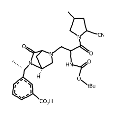 CC1CC(C#N)N(C(=O)C(CN2C[C@@H]3CC2C(=O)N3[C@@H](C)c2cccc(C(=O)O)c2)NC(=O)OC(C)(C)C)C1